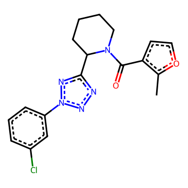 Cc1occc1C(=O)N1CCCCC1c1nnn(-c2cccc(Cl)c2)n1